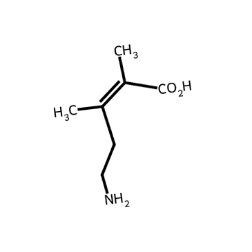 CC(CCN)=C(C)C(=O)O